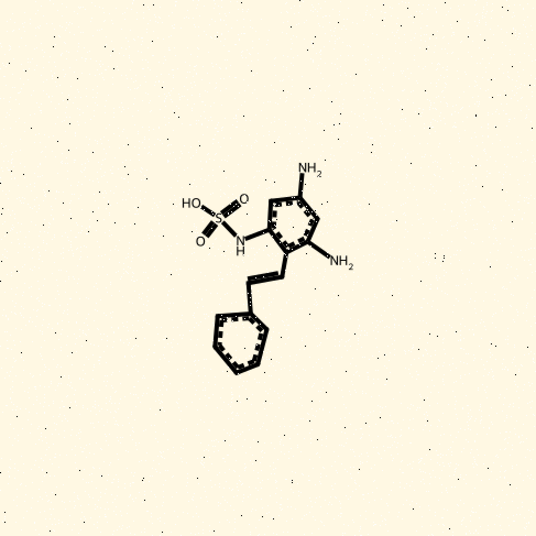 Nc1cc(N)c(C=Cc2ccccc2)c(NS(=O)(=O)O)c1